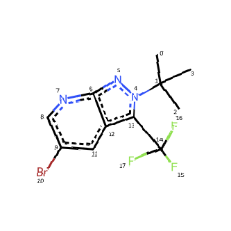 CC(C)(C)n1nc2ncc(Br)cc2c1C(F)(F)F